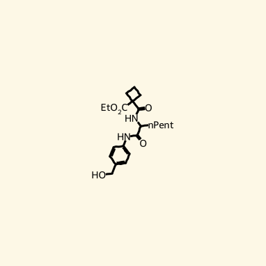 CCCCCC(NC(=O)C1(C(=O)OCC)CCC1)C(=O)Nc1ccc(CO)cc1